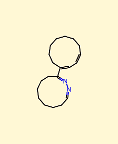 C1=CCCCCCCCC(C2=NN=CCCCCCCC2)=C1